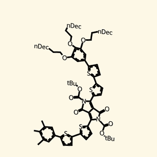 CCCCCCCCCCCCOc1cc(-c2ccc(-c3ccc(C4=C5C(=O)N(C(=O)OC(C)(C)C)C(c6ccc(-c7ccc(-c8cc(C)c(C)c(C)c8)s7)s6)=C5C(=O)N4C(=O)OC(C)(C)C)s3)s2)cc(OCCCCCCCCCCCC)c1OCCCCCCCCCCCC